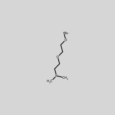 CN(C)CCOCCOC(C)(C)C